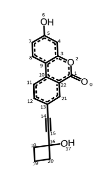 O=c1oc2cc(O)ccc2c2ccc(C#CC3(O)CCC3)cc12